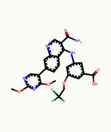 COc1ncc(-c2ccc3c(Nc4cc(OCC(F)(F)F)cc(C(=O)O)c4)c(C(N)=O)cnc3c2)c(OC)n1